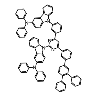 c1ccc(-c2ccc(-c3cccc(-c4cc(-c5cccc(-n6c7ccccc7c7cc(N(c8ccccc8)c8ccccc8)ccc76)c5)nc(-n5c6ccccc6c6cc(N(c7ccccc7)c7ccccc7)ccc65)n4)c3)cc2-c2ccccc2)cc1